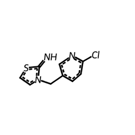 N=c1sccn1Cc1ccc(Cl)nc1